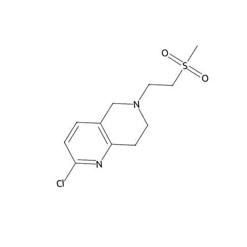 CS(=O)(=O)CCN1CCc2nc(Cl)ccc2C1